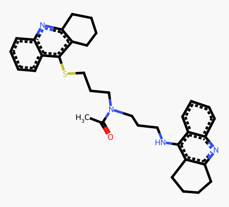 CC(=O)N(CCCNc1c2c(nc3ccccc13)CCCC2)CCCSc1c2c(nc3ccccc13)CCCC2